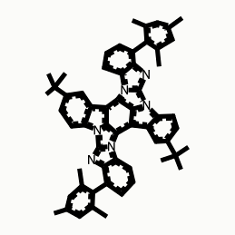 Cc1cc(C)c(-c2cccc3c2nc2n3c3c4c5cc(C(C)(C)C)ccc5n5c4c(c4c6cc(C(C)(C)C)ccc6n2c43)n2c3cccc(-c4c(C)cc(C)cc4C)c3nc25)c(C)c1